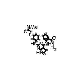 CNC(=O)COc1cccc(Nc2nc3c(c(NC4C5C=CC(C5)C4C(N)=O)n2)CCN3)c1